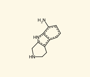 Nc1cccc2c3c([nH]c12)CNCC3